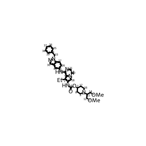 CCc1c(NC(=O)OC2CCN(C(COC)COC)CC2)cn2ncnc(Nc3ccc4c(cnn4Cc4ccccc4)c3)c12